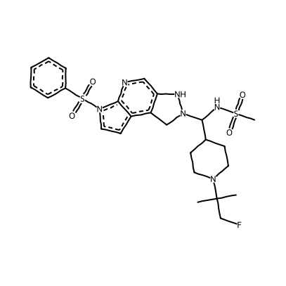 CC(C)(CF)N1CCC(C(NS(C)(=O)=O)N2Cc3c(cnc4c3ccn4S(=O)(=O)c3ccccc3)N2)CC1